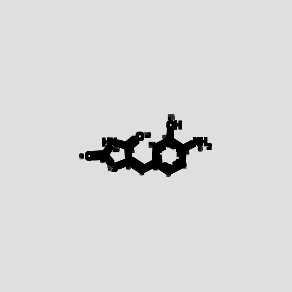 Nc1ccc(C=C2SC(=O)NC2=O)cc1O